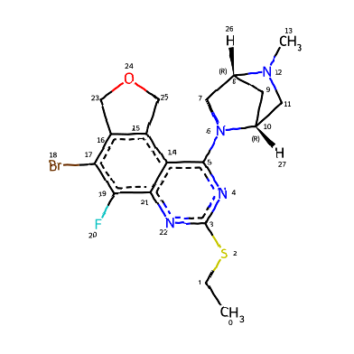 CCSc1nc(N2C[C@H]3C[C@@H]2CN3C)c2c3c(c(Br)c(F)c2n1)COC3